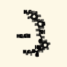 CCOC(=O)c1cc2cccc(OCCNCc3cncc(-c4ccc(C)cc4)c3)c2[nH]1.Cl.Cl